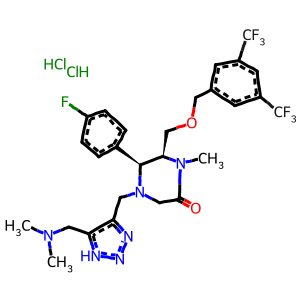 CN(C)Cc1[nH]nnc1CN1CC(=O)N(C)[C@H](COCc2cc(C(F)(F)F)cc(C(F)(F)F)c2)[C@@H]1c1ccc(F)cc1.Cl.Cl